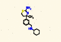 CC1(c2cccc(CNC3CCCCC3)c2)CCSC(N)=N1